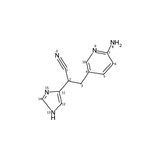 N#CC(Cc1ccc(N)nc1)c1c[nH]cn1